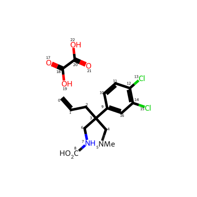 C=CCC(CNC)(CNC(=O)O)c1ccc(Cl)c(Cl)c1.O=C(O)C(=O)O